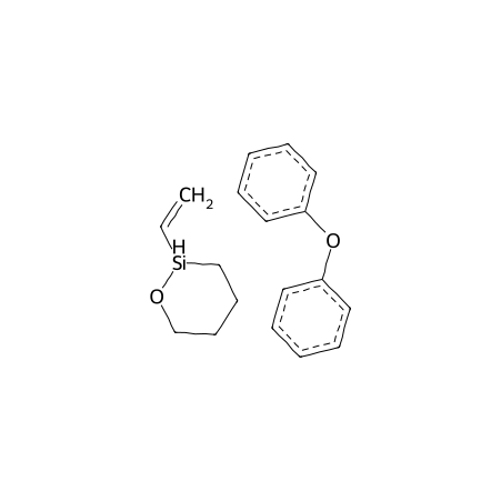 C=C[SiH]1CCCCO1.c1ccc(Oc2ccccc2)cc1